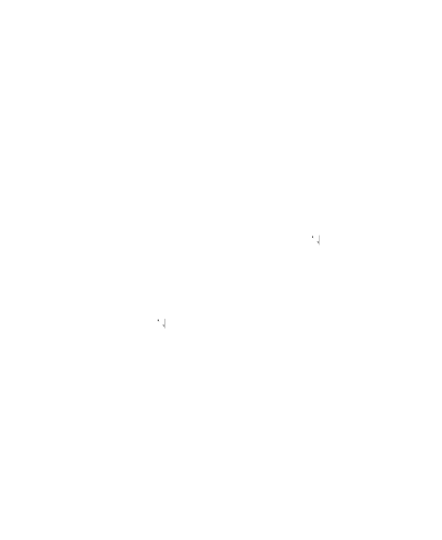 C1=CN(CCCCCN2C=CCc3ccccc32)c2ccccc2C1